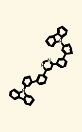 c1cc(-c2cccc(-n3c4ccccc4c4ccccc43)c2)cc(-c2cc(-c3cccc(-c4cccc(-n5c6ccccc6c6ccccc65)c4)c3)ncn2)c1